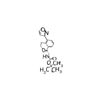 CC(C)(C)OC(=O)NC[C@@H]1OCCc2c(-c3ccon3)cccc21